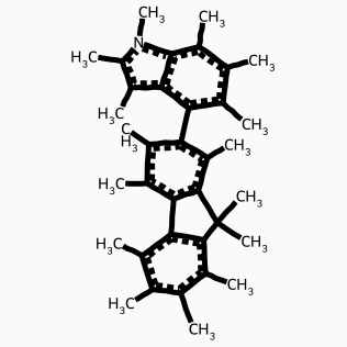 Cc1c(C)c(C)c2c(c1C)-c1c(C)c(C)c(-c3c(C)c(C)c(C)c4c3c(C)c(C)n4C)c(C)c1C2(C)C